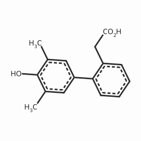 Cc1cc(-c2ccccc2CC(=O)O)cc(C)c1O